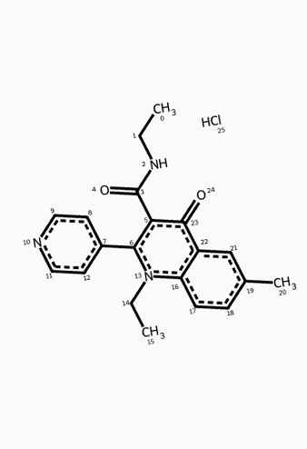 CCNC(=O)c1c(-c2ccncc2)n(CC)c2ccc(C)cc2c1=O.Cl